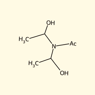 [CH2]C(=O)N(C(C)O)C(C)O